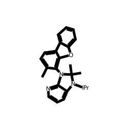 Cc1ccc2c(oc3ccccc32)c1N1c2ncccc2N(C(C)C)C1(C)C